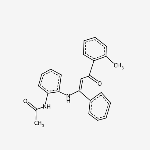 CC(=O)Nc1ccccc1NC(=CC(=O)c1ccccc1C)c1ccccc1